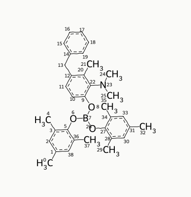 Cc1cc(C)c(OB(Oc2ccc(Cc3ccccc3)c(C)c2N(C)C)Oc2c(C)cc(C)cc2C)c(C)c1